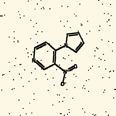 O=[N+]([O-])c1cnccc1-n1cccc1